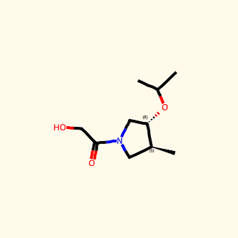 CC(C)O[C@H]1CN(C(=O)CO)C[C@@H]1C